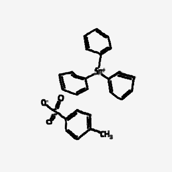 Cc1ccc(S(=O)(=O)[O-])cc1.c1cc[c]([Sn+]([c]2ccccc2)[c]2ccccc2)cc1